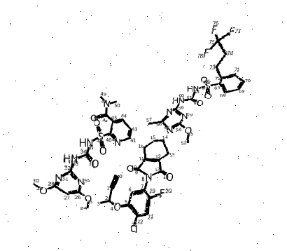 C#CC(C)Oc1cc(N2C(=O)C3=C(CCCC3)C2=O)c(F)cc1Cl.COc1cc(OC)nc(NC(=O)NS(=O)(=O)c2ncccc2C(=O)N(C)C)n1.COc1nc(C)nc(NC(=O)NS(=O)(=O)c2ccccc2CCC(F)(F)F)n1